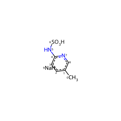 Cc1ccc(NS(=O)(=O)O)nc1.[NaH]